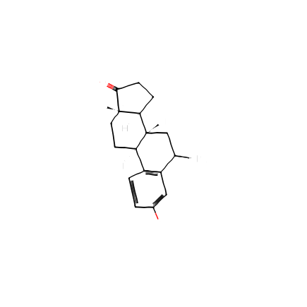 CCCCC1C[C@@H]2[C@H](CC[C@]3(C)C(=O)CC[C@@H]23)c2ccc(O)cc21